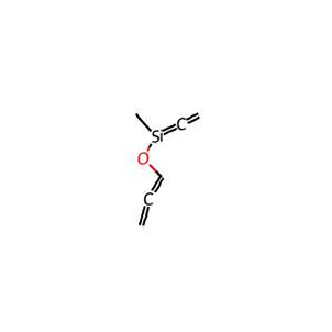 C=C=CO[Si](C)=C=C